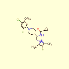 COc1cc(N2CCC(C(Cn3nc(C(F)(F)F)c(Cl)c3C)NC(=O)C3CC3)CC2)c(Cl)cc1Cl